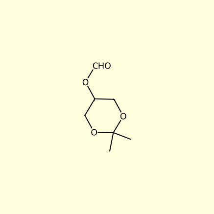 CC1(C)OC[C](OC=O)CO1